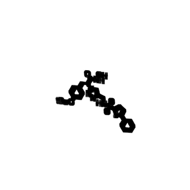 CC(C)(C)Oc1ccc(C[C@@H](C(=O)NO)n2cc(CNS(=O)(=O)c3ccc(-c4ccccc4)s3)nn2)cc1